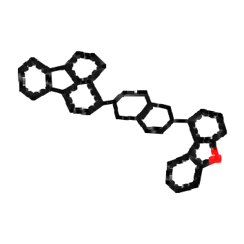 C1=CC(c2cccc3oc4ccccc4c23)CC2=C1CC(c1ccc3c4c(cccc14)-c1ccccc1-3)C=C2